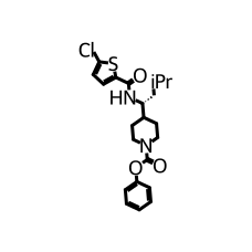 CC(C)C[C@@H](NC(=O)c1ccc(Cl)s1)C1CCN(C(=O)Oc2ccccc2)CC1